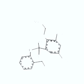 CCCCC(CC)(Pc1ccccc1CO)c1cc(C(C)(C)C)cc(C)c1OCOC